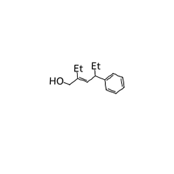 CC/C(=C\C(CC)c1ccccc1)CO